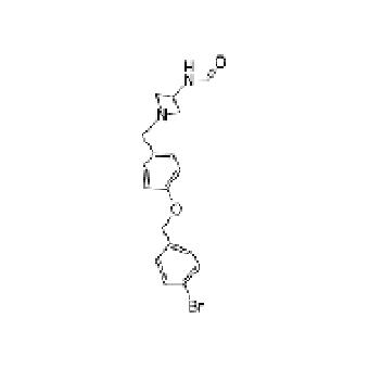 O=CNC1CN(Cc2ccc(OCc3ccc(Br)cc3)cc2)C1